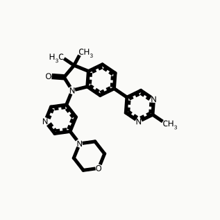 Cc1ncc(-c2ccc3c(c2)N(c2cncc(N4CCOCC4)c2)C(=O)C3(C)C)cn1